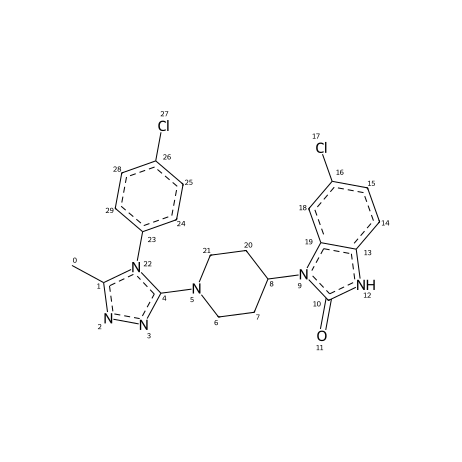 Cc1nnc(N2CCC(n3c(=O)[nH]c4ccc(Cl)cc43)CC2)n1-c1ccc(Cl)cc1